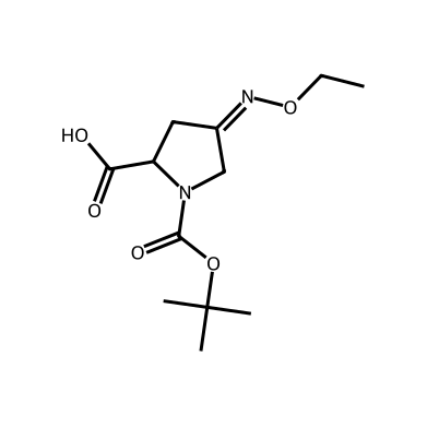 CCON=C1CC(C(=O)O)N(C(=O)OC(C)(C)C)C1